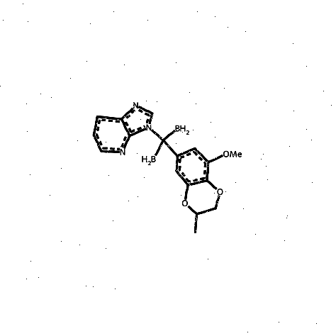 BC(B)(c1cc(OC)c2c(c1)OC(C)CO2)n1cnc2cccnc21